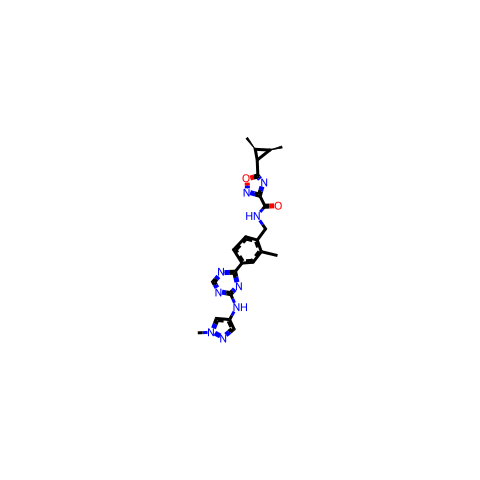 Cc1cc(-c2ncnc(Nc3cnn(C)c3)n2)ccc1CNC(=O)c1noc(C2[C@@H](C)[C@H]2C)n1